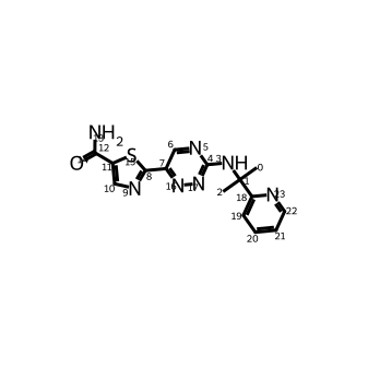 CC(C)(Nc1ncc(-c2ncc(C(N)=O)s2)nn1)c1ccccn1